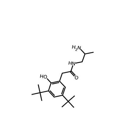 CC(N)CNC(=O)Cc1cc(C(C)(C)C)cc(C(C)(C)C)c1O